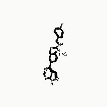 CN(Cc1ccc(F)cc1)c1ncc2cc(-c3ncnc4[nH]ncc34)ccc2n1.Cl